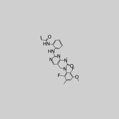 C=CC(=O)Nc1ccccc1Nc1ncc2c(n1)N(C)C(=O)N(c1c(F)c(C)cc(OC)c1F)C2